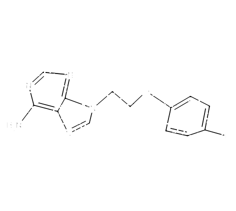 Nc1ncnc2c1ncn2CCOc1ccc(F)cc1